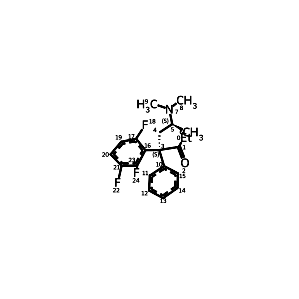 CCC(=O)[C@@](C[C@H](C)N(C)C)(c1ccccc1)c1c(F)ccc(F)c1F